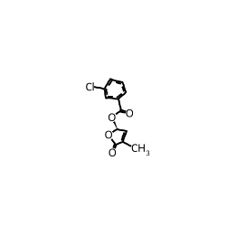 CC1=C[C@H](OC(=O)c2cccc(Cl)c2)OC1=O